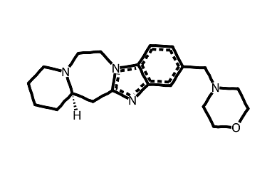 c1cc2c(cc1CN1CCOCC1)nc1n2CCN2CCCC[C@@H]2C1